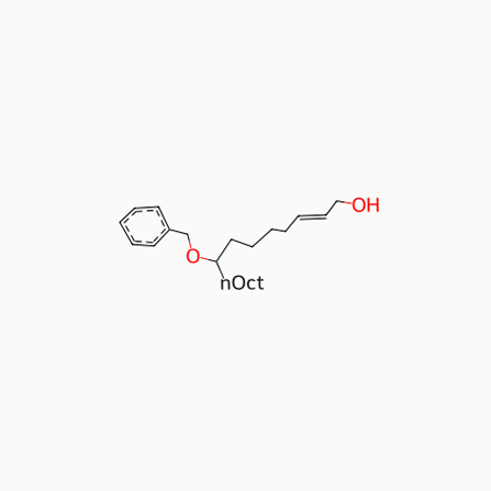 CCCCCCCCC(CCCC/C=C/CO)OCc1ccccc1